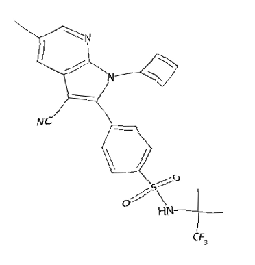 Cc1cnc2c(c1)c(C#N)c(-c1ccc(S(=O)(=O)NC(C)(C)C(F)(F)F)cc1)n2C1=CC=C1